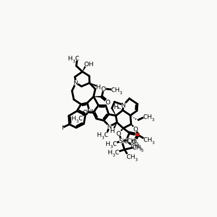 CC[C@]1(O)C[C@H]2CN(CCc3c([nH]c4ccc(I)cc34)[C@@](C(=O)OC)(c3cc4c(cc3OC)N(C)[C@H]3[C@@](O[Si](C)(C)C(C)(C)C)(C(=O)OC)[C@H](OC(C)=O)[C@]5(CC)C=CCN6CC[C@]43[C@@H]65)C2)C1